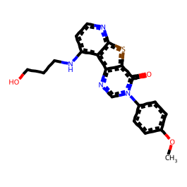 COc1ccc(-n2cnc3c(sc4nccc(NCCCO)c43)c2=O)cc1